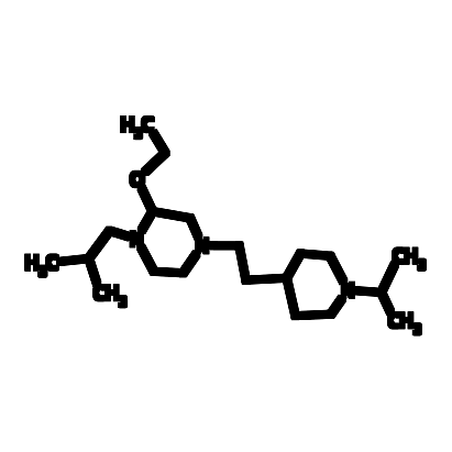 CCOC1CN(CCC2CCN(C(C)C)CC2)CCN1CC(C)C